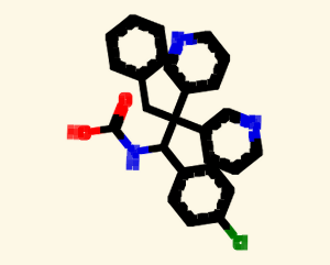 O=C(O)NC(c1ccc(Cl)cc1)C(Cc1ccccc1)(c1cccnc1)c1cccnc1